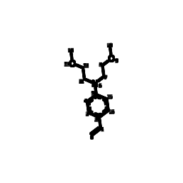 C=Cc1ccc(N(CCOC)CCOC)cc1